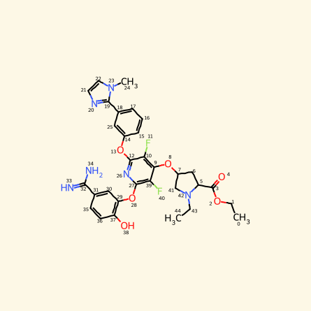 CCOC(=O)C1CC(Oc2c(F)c(Oc3cccc(-c4nccn4C)c3)nc(Oc3cc(C(=N)N)ccc3O)c2F)CN1CC